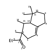 CCC(=O)C1(C)CC=C2CCCC(C)(C)C2C1C